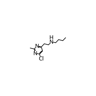 CCCCNCCc1cc(Cl)nc(C)n1